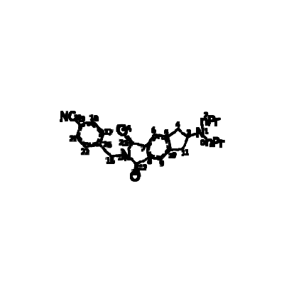 CCCN(CCC)C1Cc2cc3c(cc2C1)C(=O)N(Cc1ccc(C#N)cc1)C3=O